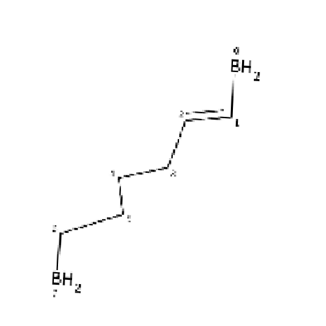 BC=CCCCCB